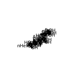 CCCCCCO[C@@H]1OC(CO)[C@@H](O[C@@H]2OC(CO)[C@H](O[C@H]3OC(CO)[C@H](O)[C@H](O[C@@H]4OC(CO)[C@H](O)[C@H](O[C@@H]5OC(CO)[C@H](O)[C@H](O)C5O[C@@H]5OC(CF)[C@@H](O)[C@H](O)C5O)C4NC(C)=O)C3O)[C@H](O)C2O)[C@H](O)C1O